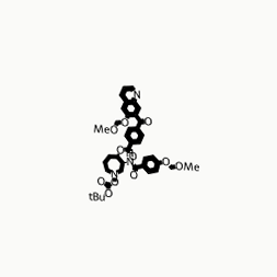 COCOc1ccc(C(=O)N[C@@H]2CN(OC(=O)OC(C)(C)C)CCC[C@H]2OC(=O)c2ccc(C(=O)c3cc4ncccc4cc3OCOC)cc2)cc1